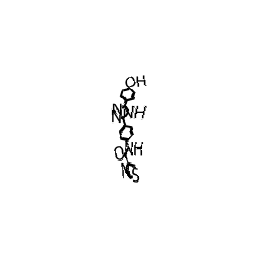 O=C(Nc1ccc(-c2nnc(-c3ccc(O)cc3)[nH]2)cc1)c1cscn1